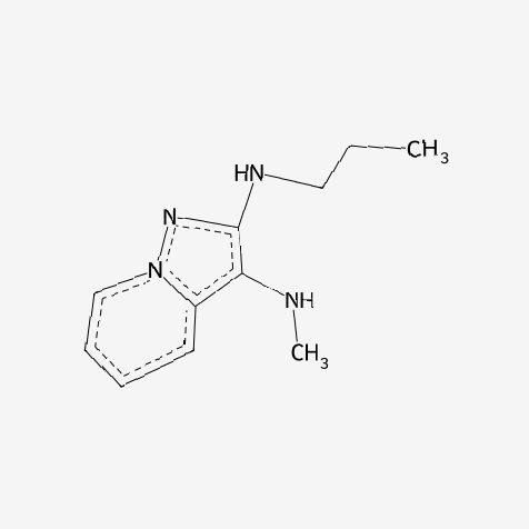 CCCNc1nn2ccccc2c1NC